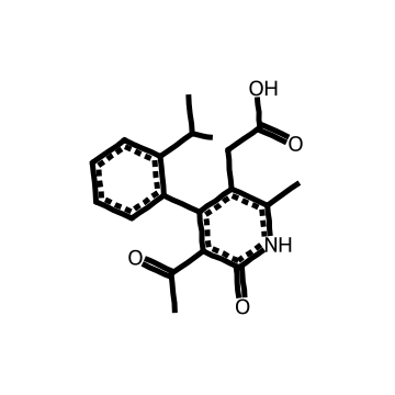 CC(=O)c1c(-c2ccccc2C(C)C)c(CC(=O)O)c(C)[nH]c1=O